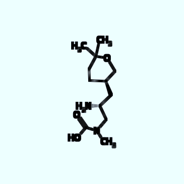 CN(C[C@H](N)C[C@H]1CCC(C)(C)OC1)C(=O)O